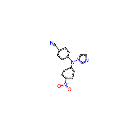 N#Cc1ccc(N(c2ccc([N+](=O)[O-])cc2)n2ccnc2)cc1